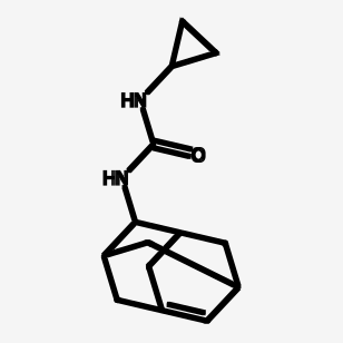 O=C(NC1CC1)NC1C2CC3=CC(C2)CC1C3